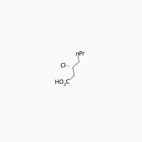 CCCC[C@@H](Cl)CC(=O)O